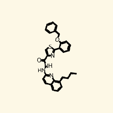 CCCCc1cccc2ccc(NNC(=O)c3csc(-c4ccccc4OCc4ccccc4)n3)nc12